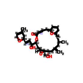 C=C1C[C@H](C)C[C@@H]2CC=C[C@@H](C/C=C\C(=O)O[C@H]([C@@H](O)/C=C/[C@@H]3CC(C)=CCO3)C[C@@H]3O[C@@H]3[C@@H](O)C1)O2